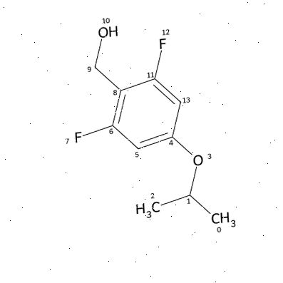 CC(C)Oc1cc(F)c(CO)c(F)c1